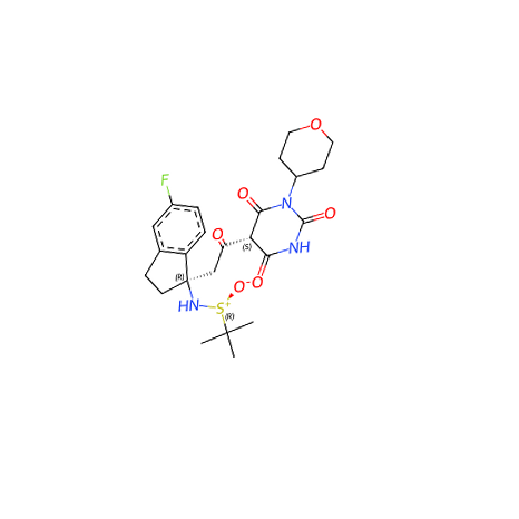 CC(C)(C)[S@+]([O-])N[C@@]1(CC(=O)[C@H]2C(=O)NC(=O)N(C3CCOCC3)C2=O)CCc2cc(F)ccc21